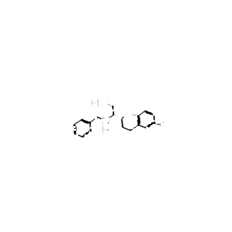 OCC(NCc1ccccc1)[C@H]1CCc2cc(F)ccc2O1